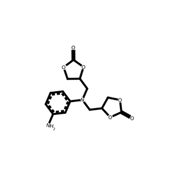 Nc1cccc(N(CC2COC(=O)O2)CC2COC(=O)O2)c1